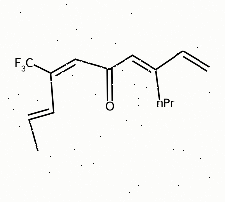 C=C/C(=C/C(=O)/C=C(\C=C\C)C(F)(F)F)CCC